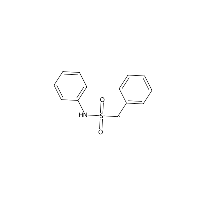 O=S(=O)([CH]c1ccccc1)Nc1ccccc1